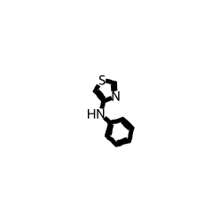 c1ccc(Nc2cscn2)cc1